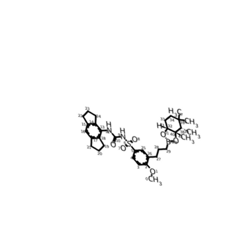 COc1ccc(S(=O)(=O)NC(=O)Nc2c3c(cc4c2CCC4)CCC3)cc1CCCB1O[C@@H]2CCC(C)(C)[C@H](C)[C@]2(C)O1